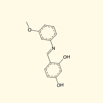 COc1cccc(/N=C/c2ccc(O)cc2O)c1